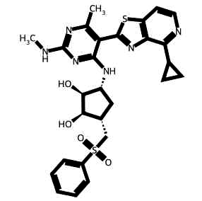 CNc1nc(C)c(-c2nc3c(C4CC4)nccc3s2)c(N[C@@H]2C[C@H](CS(=O)(=O)c3ccccc3)[C@@H](O)[C@H]2O)n1